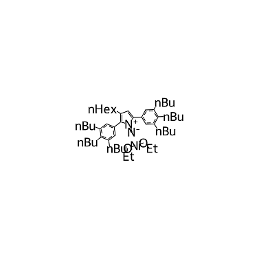 CCCCCCC1=C(c2cc(CCCC)c(CCCC)c(CCCC)c2)[N+](=[N-])C(c2cc(CCCC)c(CCCC)c(CCCC)c2)=C1.CC[O][Ni][O]CC